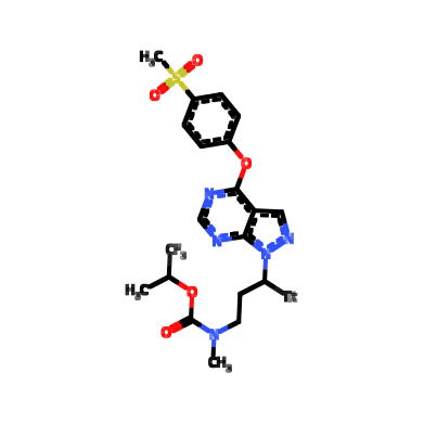 CCC(CCN(C)C(=O)OC(C)C(F)(F)F)n1ncc2c(Oc3ccc(S(C)(=O)=O)cc3)ncnc21